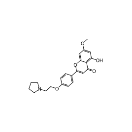 COc1cc(O)c2c(=O)cc(-c3ccc(OCCN4CCCC4)cc3)oc2c1